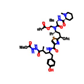 CCCC(=O)OCN(C(=O)[C@@H](NC(=O)[C@H]1CCCCN1C)[C@H](C)CC)[C@H](C[C@@H](OC(C)=O)c1nc(C(=O)N[C@@H](Cc2ccc(O)cc2)C[C@H](C)C(=O)NNC(=O)OC)cs1)C(C)C